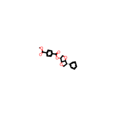 COC(=O)c1ccc(C(=O)O[C@H]2COC3C2OC[C@H]3c2ccccc2)cc1